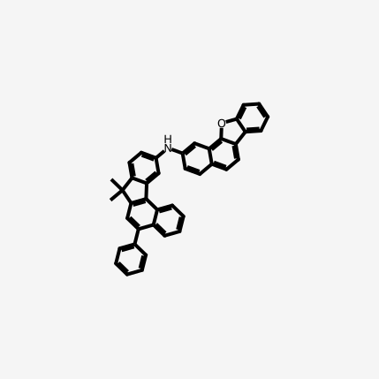 CC1(C)c2ccc(Nc3ccc4ccc5c6ccccc6oc5c4c3)cc2-c2c1cc(-c1ccccc1)c1ccccc21